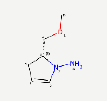 COC[C@H]1CC=CN1N